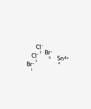 [Br-].[Br-].[Cl-].[Cl-].[Sn+4]